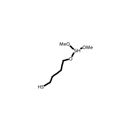 CO[SiH](OC)OCCCCS